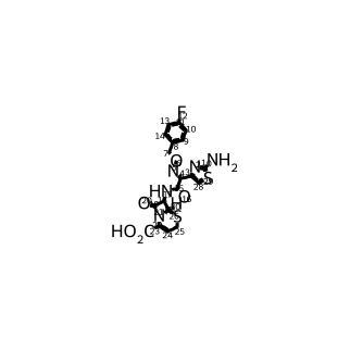 Nc1nc(C(=NOCc2ccc(F)cc2)C(=O)NC2C(=O)N3C(C(=O)O)=CCS[C@@H]23)cs1